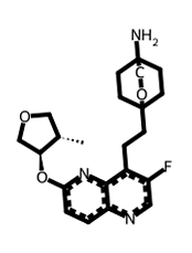 C[C@H]1COC[C@@H]1Oc1ccc2ncc(F)c(CCC34CCC(N)(CC3)CO4)c2n1